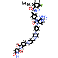 COc1ccc(F)cc1C(=O)NCc1ccc(-n2c(=O)n(-c3ccc(N4CCN(CC5CCN(c6ccc7c(c6)CN(C6CCC(=O)NC6=O)C7=O)CC5)CC4)cc3)c3ccnc(N)c32)cc1